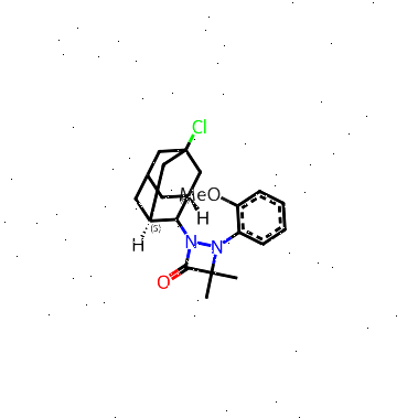 COc1ccccc1N1N(C2[C@@H]3CC4C[C@H]2CC(Cl)(C4)C3)C(=O)C1(C)C